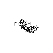 COc1cc2nc(C)nc(N[C@H](C)c3cccc(C(F)(F)F)c3)c2cc1P1(=O)CCN(CC(=O)N(C)C)CC1